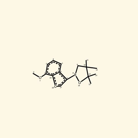 COc1cccc2c(B3CC(C)(C)C(C)(C)O3)coc12